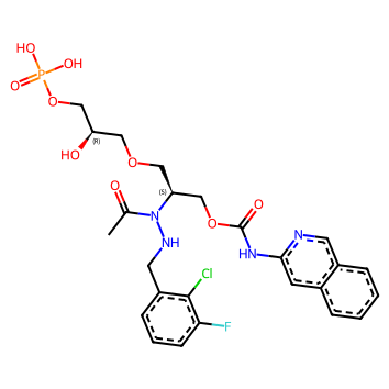 CC(=O)N(NCc1cccc(F)c1Cl)[C@@H](COC[C@@H](O)COP(=O)(O)O)COC(=O)Nc1cc2ccccc2cn1